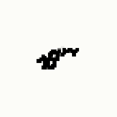 C=C1CCc2cc(OCCC(C)C)ccc2N1C(C)C